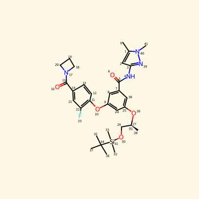 Cc1cc(NC(=O)c2cc(Oc3ccc(C(=O)N4CCC4)cc3F)cc(O[C@@H](C)CO[Si](C)(C)C(C)(C)C)c2)nn1C